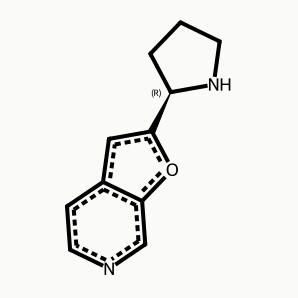 c1cc2cc([C@H]3CCCN3)oc2cn1